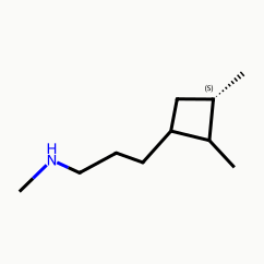 CNCCCC1C[C@H](C)C1C